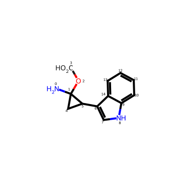 NC1(OC(=O)O)CC1c1c[nH]c2ccccc12